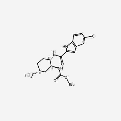 CC(C)(C)OC(=O)N[C@H]1C[C@H](C(=O)O)CC[C@@H]1NC(=O)c1cc2cc(Cl)ccc2[nH]1